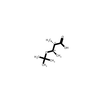 C[C@H](C(=O)O)[C@@H](C)OC(C)(C)C